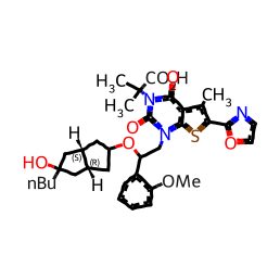 CCCCC1(O)C[C@H]2CC(OC(Cn3c(=O)n(C(C)(C)C(=O)O)c(=O)c4c(C)c(-c5ncco5)sc43)c3ccccc3OC)C[C@H]2C1